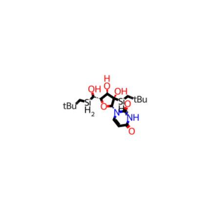 CC(C)(C)C[SiH2]C(O)[C@H]1O[C@@H](n2ccc(=O)[nH]c2=O)[C@@](O)([SiH2]CC(C)(C)C)[C@@H]1O